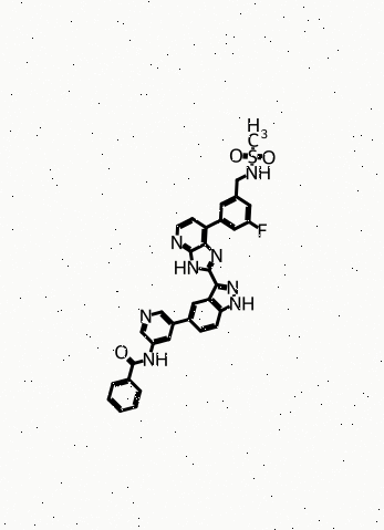 CS(=O)(=O)NCc1cc(F)cc(-c2ccnc3[nH]c(-c4n[nH]c5ccc(-c6cncc(NC(=O)c7ccccc7)c6)cc45)nc23)c1